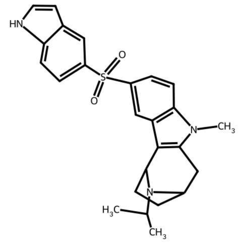 CC(C)N1C2CCC1c1c(n(C)c3ccc(S(=O)(=O)c4ccc5[nH]ccc5c4)cc13)C2